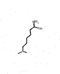 CN(C)CCCCCC(N)O